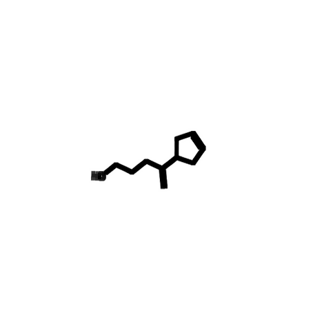 C=C(CCCO)C1CC=CC1